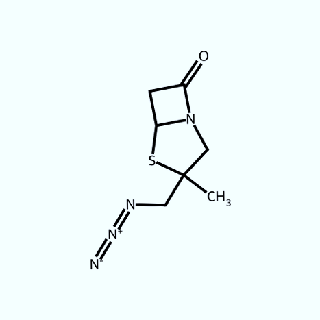 CC1(CN=[N+]=[N-])CN2C(=O)CC2S1